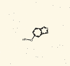 CCCOc1ccc2[c]s[c]c2c1